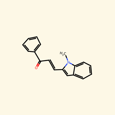 Cn1c(C=CC(=O)c2ccccc2)cc2ccccc21